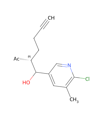 C#CCC[C@@H](C(C)=O)C(O)c1cnc(Cl)c(C)c1